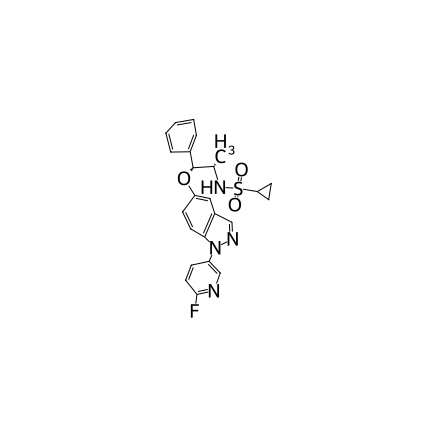 C[C@H](NS(=O)(=O)C1CC1)[C@@H](Oc1ccc2c(cnn2-c2ccc(F)nc2)c1)c1ccccc1